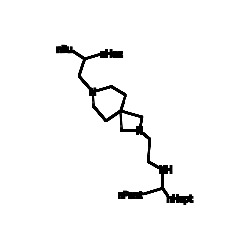 CCCCCCCC(CCCCC)NCCN1CC2(CCN(CC(CCCC)CCCCCC)CC2)C1